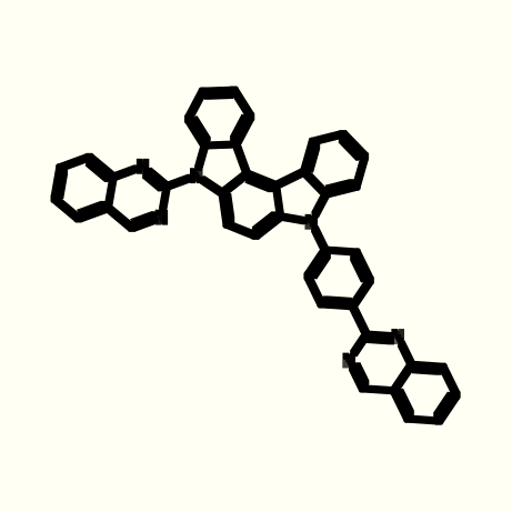 c1ccc2nc(-c3ccc(-n4c5ccccc5c5c6c7ccccc7n(-c7ncc8ccccc8n7)c6ccc54)cc3)ncc2c1